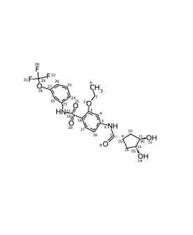 CCOc1cc(NC(=O)[C@@H]2C[C@@H](O)[C@@H](O)C2)ccc1S(=O)(=O)Nc1cccc(OC(F)(F)F)c1